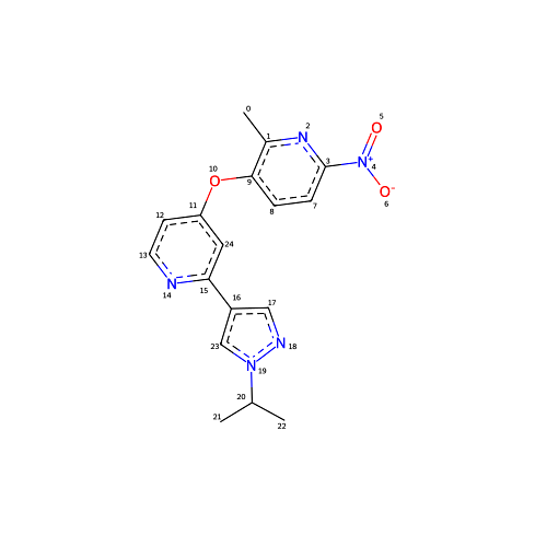 Cc1nc([N+](=O)[O-])ccc1Oc1ccnc(-c2cnn(C(C)C)c2)c1